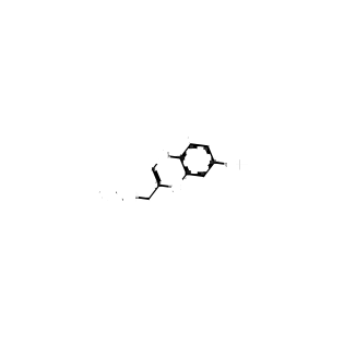 CC(=O)NCC1=COc2ccc(O)cc2O1